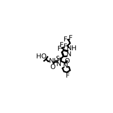 CC(C)(O)CNC(=O)c1nc(C(=O)N2CCC(F)CC2)c(-c2cnc(NCCC(F)F)c(C(F)(F)F)c2)s1